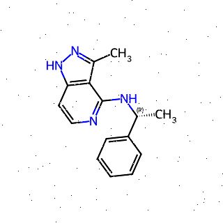 Cc1n[nH]c2ccnc(N[C@H](C)c3ccccc3)c12